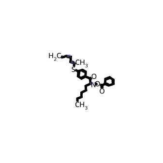 C=C/C=C\C=C(/C)Sc1ccc(C(=O)/C(CCCCCC)=N\OC(=O)c2ccccc2)cc1